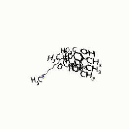 C/C=C/CCCCC(=O)C(C)C(=O)N1CC[C@H]2[C@@H]3O[C@H](C)[C@@H](C)c4c(C)c(O)c(C(=O)O)c(c43)O[C@H]21